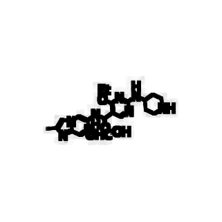 CCOc1nc(NC2CCNCC2)ncc1C(=O)Nc1cn2cc(C)nc2cn1.O=CO